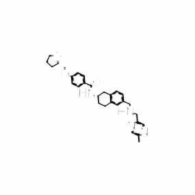 Cc1cnc(CNCc2ccc3c(c2)CC[C@H](NC(=O)c2ccc(OC[C@@H]4CCCO4)cc2)C3)cn1